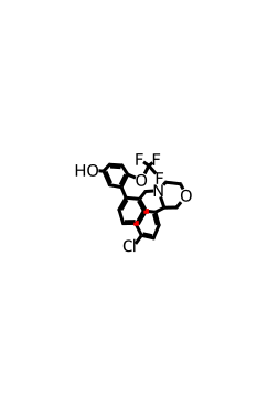 Oc1ccc(OC(F)(F)F)c(-c2ccccc2CN2CCOCC2c2ccc(Cl)cc2)c1